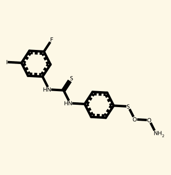 NOOSc1ccc(NC(=S)Nc2cc(F)cc(I)c2)cc1